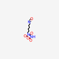 O=C=NCCCCCCn1c(=O)[nH]c(=O)oc1=O